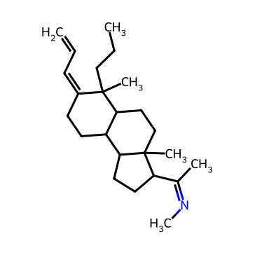 C=C/C=C1/CCC2C(CCC3(C)C(/C(C)=N\C)CCC23)C1(C)CCC